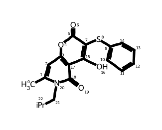 Cc1cc2oc(=O)c(Sc3ccccc3)c(O)c2c(=O)n1CC(C)C